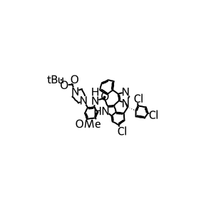 COc1ccc(N2CCN(C(=O)OC(C)(C)C)CC2)c(NC(=O)c2[nH]c3cc(Cl)cc4c3c2-c2c(-c3ccccc3)ncn2[C@@H]4c2ccc(Cl)cc2Cl)c1